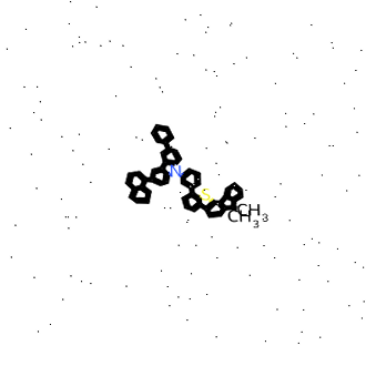 CC1(C)c2ccccc2-c2c1ccc1c2sc2c(-c3cccc(-n4c5ccc(-c6ccccc6)cc5c5cc(-c6cccc7ccccc67)ccc54)c3)cccc21